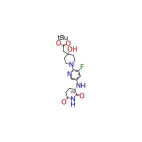 CC(C)(C)OC(=O)CC1(O)CCN(c2ncc(N[C@H]3CCC(=O)NC3=O)cc2F)CC1